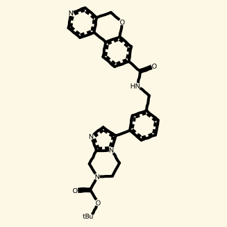 CC(C)(C)OC(=O)N1CCn2c(-c3cccc(CNC(=O)c4ccc5c(c4)OCc4cnccc4-5)c3)cnc2C1